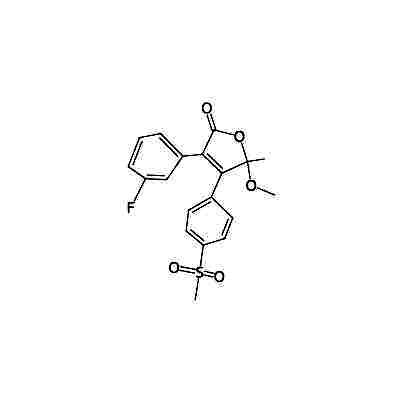 COC1(C)OC(=O)C(c2cccc(F)c2)=C1c1ccc(S(C)(=O)=O)cc1